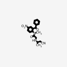 CC(CC#N)NCC(=O)N(C)c1ccc([N+](=O)[O-])cc1C(=O)c1ccccc1